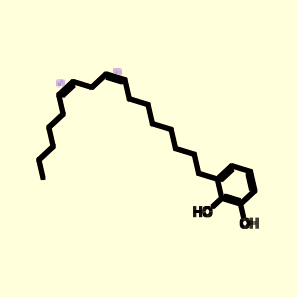 CCCCC/C=C\C/C=C\CCCCCCCc1cccc(O)c1O